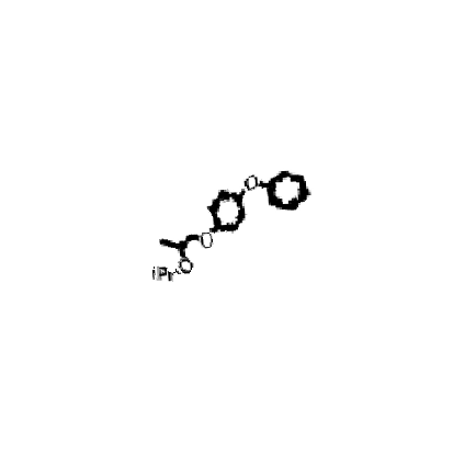 CC(C)OC(C)COc1ccc(Oc2ccccc2)cc1